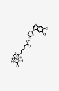 O=C1N[C@H]2[C@H](CS[C@H]2CCCCC(=O)OC[C@@H]2CC[C@H](n3cnc4cc(Cl)c(Cl)cc43)O2)N1